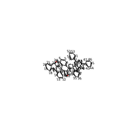 CC1(C)c2ccccc2C2(c3ccccc3-n3c4ccccc4c4cccc2c43)c2cccc(-c3cccc(-c4nc(-c5ccccc5)nc(-c5ccccc5)n4)c3)c21